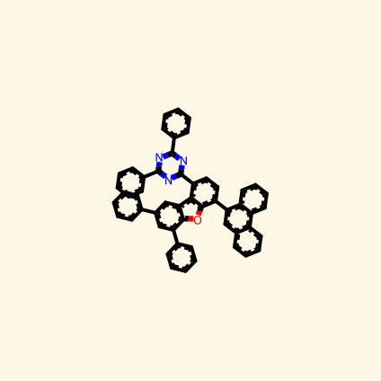 c1ccc(-c2cc(-c3ccccc3)c3oc4c(-c5cc6ccccc6c6ccccc56)ccc(-c5nc(-c6ccccc6)nc(-c6ccccc6)n5)c4c3c2)cc1